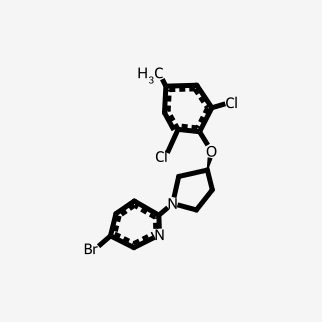 Cc1cc(Cl)c(O[C@H]2CCN(c3ccc(Br)cn3)C2)c(Cl)c1